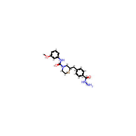 COc1cccc(NC(=O)N2CCSC(Cc3ccc(C(=O)NN)cc3)C2)c1